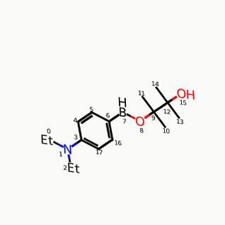 CCN(CC)c1ccc(BOC(C)(C)C(C)(C)O)cc1